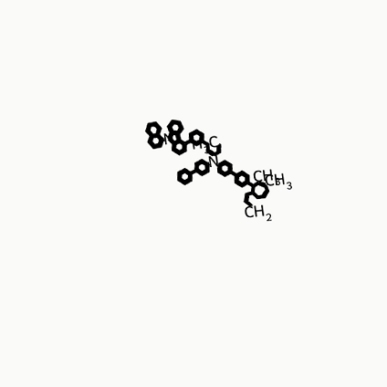 C=C/C=C\C1CC=CC(C)=C(C)C1c1ccc(-c2ccc(N(C(/C=C\C)=C/Cc3cccc(-c4cccc5c4c4ccccc4n5-c4cccc5ccccc45)c3)c3ccc(-c4ccccc4)cc3)cc2)cc1